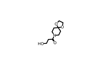 O=C(CCO)N1CCC2(CC1)OCCO2